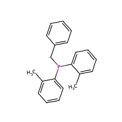 Cc1ccccc1P([CH]c1ccccc1)c1ccccc1C